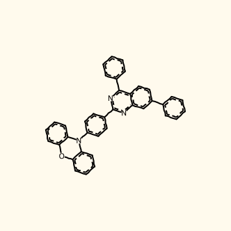 c1ccc(-c2ccc3c(-c4ccccc4)nc(-c4ccc(N5c6ccccc6Oc6ccccc65)cc4)nc3c2)cc1